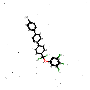 CCCc1ccc(C2C=CC(C3CCC(C(F)(F)Oc4cc(F)c(F)c(F)c4)CC3)CC2)cc1